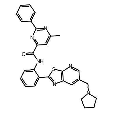 Cc1cc(C(=O)Nc2ccccc2-c2nc3cc(CN4CCCC4)cnc3s2)nc(-c2ccccc2)n1